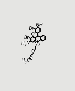 COCCOCCOC(=O)c1ccccc1-c1c2ccc(=N)c(Br)c-2oc2c(Br)c(N)ccc12